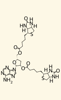 Nc1ncnc2c1ncn2[C@@H]1O[C@H](COC(=O)CCCC[C@@H]2SC[C@@H]3NC(=O)N[C@@H]32)CC1OC(=O)CCCC[C@@H]1SC[C@@H]2NC(=O)N[C@@H]21